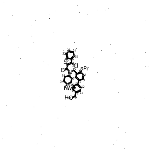 CCCc1ccc(-c2ccc(CO)cc2)cc1CN(C(=O)c1sc2ccccc2c1Cl)[C@H]1CC[C@H](NC)CC1